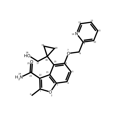 Cc1oc2ccc(OCc3ccccn3)c(C3(CO)CC3)c2c1C(N)=O